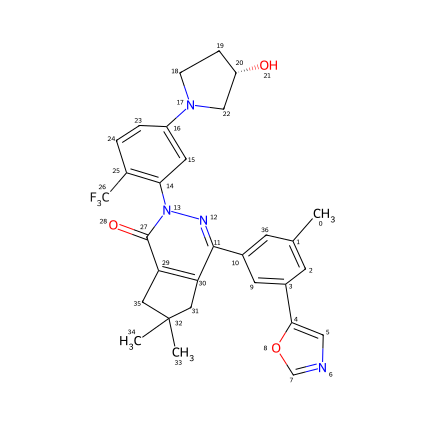 Cc1cc(-c2cnco2)cc(-c2nn(-c3cc(N4CC[C@H](O)C4)ccc3C(F)(F)F)c(=O)c3c2CC(C)(C)C3)c1